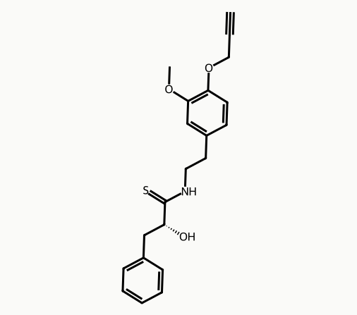 C#CCOc1ccc(CCNC(=S)[C@H](O)Cc2ccccc2)cc1OC